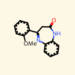 COc1ccccc1C1=Nc2ccccc2NC(=O)C1